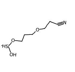 C[SiH](O)OCCCOCCC#N